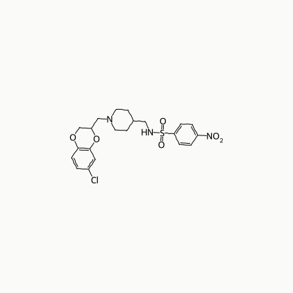 O=[N+]([O-])c1ccc(S(=O)(=O)NCC2CCN(CC3COc4ccc(Cl)cc4O3)CC2)cc1